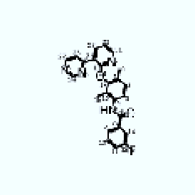 Cc1ccc(NC(=O)c2cccc(F)c2)c(C)c1Oc1ncccc1-c1ccncn1